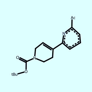 CC(=O)c1cccc(C2=CCN(C(=O)OC(C)(C)C)CC2)n1